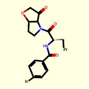 CC(C)C[C@H](NC(=O)c1ccc(Br)cc1)C(=O)N1CCC2OCC(=O)C21